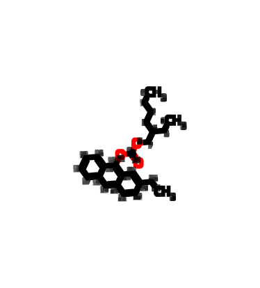 CCCCC(CC)COC(=O)Oc1c2ccccc2cc2ccc(CC)cc12